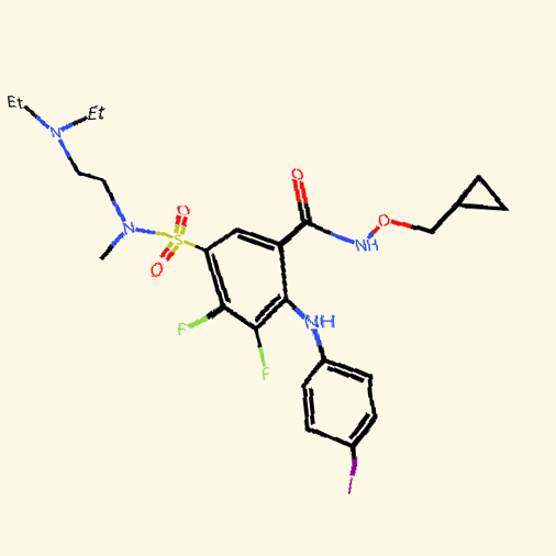 CCN(CC)CCN(C)S(=O)(=O)c1cc(C(=O)NOCC2CC2)c(Nc2ccc(I)cc2)c(F)c1F